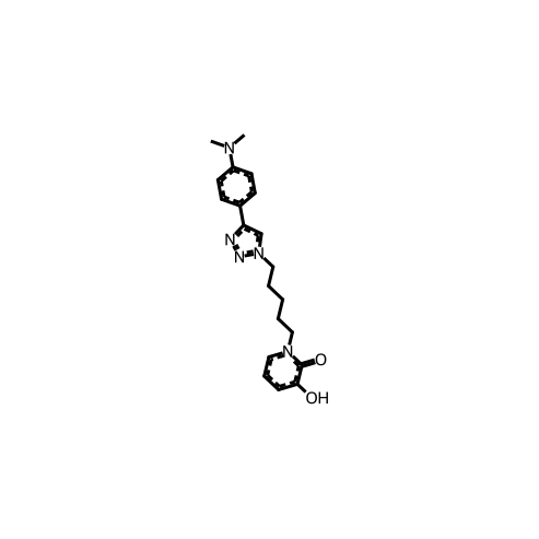 CN(C)c1ccc(-c2cn(CCCCCn3cccc(O)c3=O)nn2)cc1